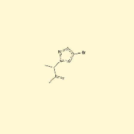 C=C(C)C(C)n1cc(Br)cn1